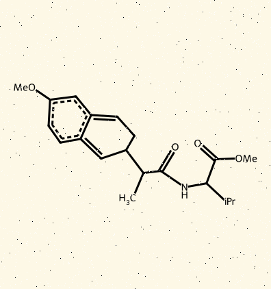 COC(=O)C(NC(=O)C(C)C1C=c2ccc(OC)cc2=CC1)C(C)C